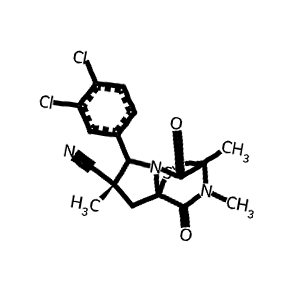 CN1C(=O)C23C[C@](C)(C#N)C(c4ccc(Cl)c(Cl)c4)N2C(=O)C1(C)SS3